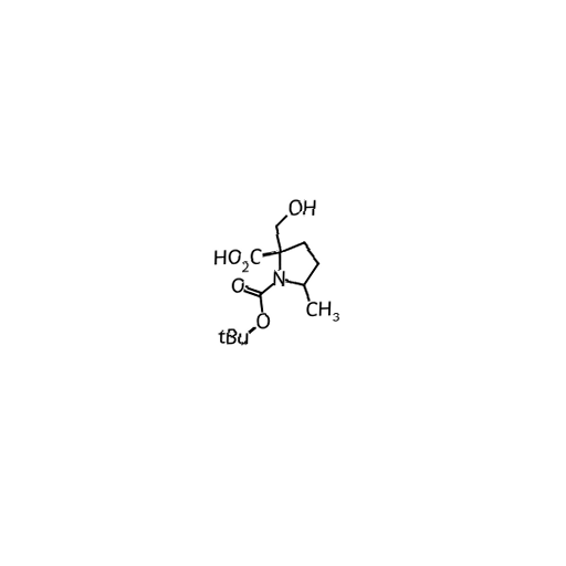 CC1CCC(CO)(C(=O)O)N1C(=O)OC(C)(C)C